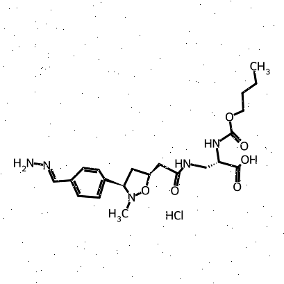 CCCCOC(=O)N[C@@H](CNC(=O)C[C@@H]1C[C@H](c2ccc(C=NN)cc2)N(C)O1)C(=O)O.Cl